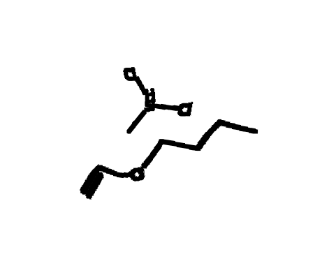 C=COCCCC.C[SiH](Cl)Cl